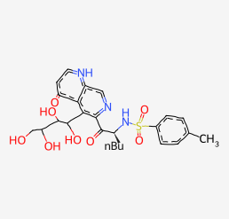 CCCC[C@H](NS(=O)(=O)c1ccc(C)cc1)C(=O)c1ncc2[nH]ccc(=O)c2c1C(O)C(O)C(O)CO